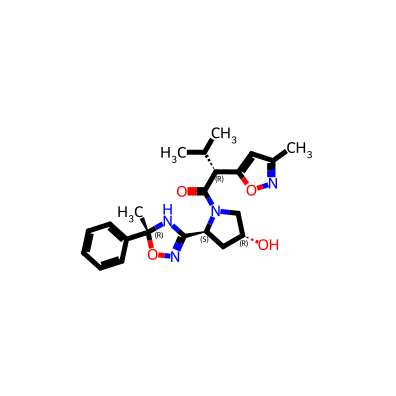 Cc1cc([C@H](C(=O)N2C[C@H](O)C[C@H]2C2=NO[C@](C)(c3ccccc3)N2)C(C)C)on1